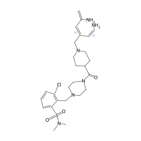 C=C(N)/C=C(\C=C/N)CN1CCC(C(=O)N2CCN(Cc3c(Cl)cccc3S(=O)(=O)N(C)C)CC2)CC1